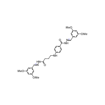 COc1cc(/C=N/NC(=O)CCCNc2ccc(C(=O)N/N=C/c3cc(OC)cc(OC)c3)cc2)cc(OC)c1